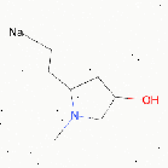 CN1CC(O)CC1C[CH2][Na]